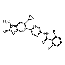 Cn1c(=O)oc2cc(-c3cnc(NC(=O)c4c(F)cccc4F)cn3)c(C3CC3)cc21